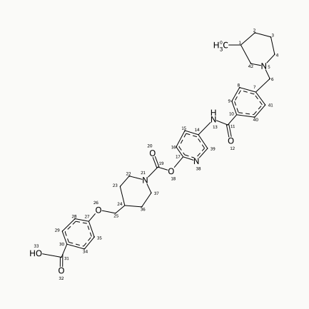 CC1CCCN(Cc2ccc(C(=O)Nc3ccc(OC(=O)N4CCC(COc5ccc(C(=O)O)cc5)CC4)nc3)cc2)C1